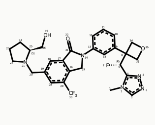 Cn1cnnc1[C@H](F)C1(c2cccc(N3Cc4c(cc(CN5CCC[C@H]5CO)cc4C(F)(F)F)C3=O)c2)COC1